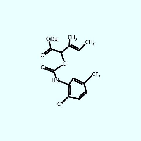 CC=C(C)C(OC(=O)Nc1cc(C(F)(F)F)ccc1Cl)C(=O)OCC(C)C